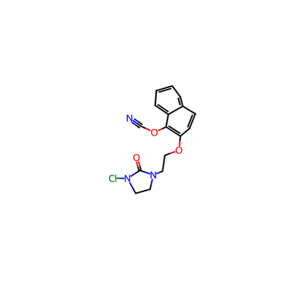 N#COc1c(OCCN2CCN(Cl)C2=O)ccc2ccccc12